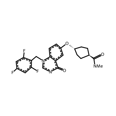 CNC(=O)[C@H]1CC[C@H](Oc2ccc3c(c2)c(=O)ncn3Cc2c(F)cc(F)cc2F)CC1